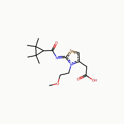 COCCn1c(CC(=O)O)cs/c1=N\C(=O)C1C(C)(C)C1(C)C